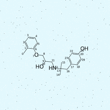 Cc1ccccc1OCC(O)CNC(C)(C)Cc1ccc(O)cc1